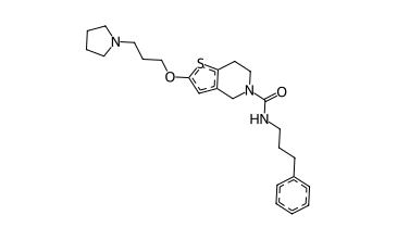 O=C(NCCCc1ccccc1)N1CCc2sc(OCCCN3CCCC3)cc2C1